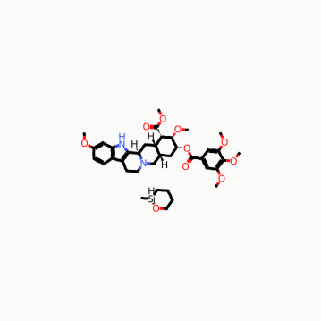 COC(=O)[C@H]1[C@H]2C[C@@H]3c4[nH]c5cc(OC)ccc5c4CCN3C[C@H]2C[C@@H](OC(=O)c2cc(OC)c(OC)c(OC)c2)[C@@H]1OC.C[SiH]1CCCCO1